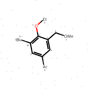 CCOc1c(COC)cc(C(C)=O)cc1C(C)(C)C